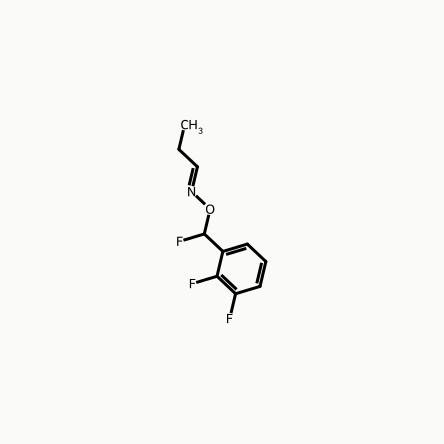 CCC=NOC(F)c1cccc(F)c1F